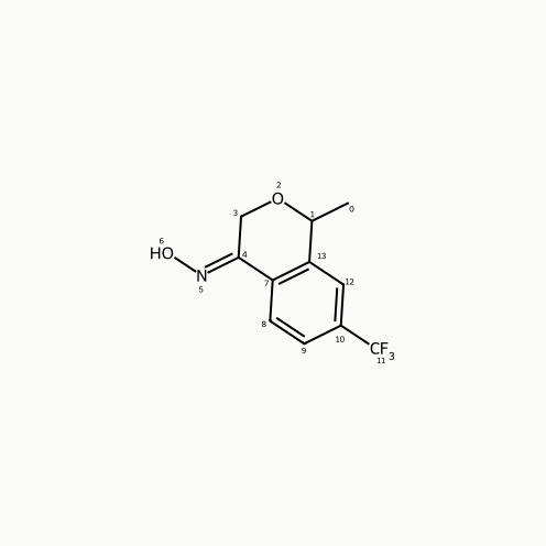 CC1OCC(=NO)c2ccc(C(F)(F)F)cc21